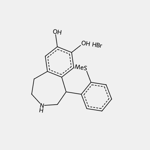 Br.CSc1ccccc1C1CNCCc2cc(O)c(O)cc21